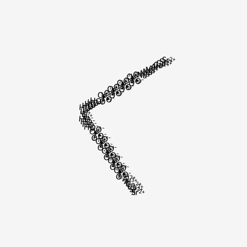 O=P([O-])([O-])[O-].O=P([O-])([O-])[O-].O=P([O-])([O-])[O-].O=P([O-])([O-])[O-].O=P([O-])([O-])[O-].O=P([O-])([O-])[O-].O=P([O-])([O-])[O-].O=P([O-])([O-])[O-].O=P([O-])([O-])[O-].[Al+3].[Al+3].[Al+3].[Al+3].[Ca+2].[Ca+2].[Ca+2].[Ca+2].[Li+].[Li+].[Li+].[Li+].[Na+].[Na+].[Na+].[Na+].[OH-].[OH-].[OH-].[OH-].[OH-].[OH-].[OH-].[OH-].[OH-].[Sr+2].[Sr+2].[Sr+2].[Sr+2]